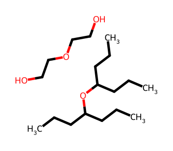 CCCC(CCC)OC(CCC)CCC.OCCOCCO